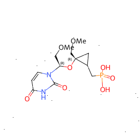 COC[C@@H](O[C@]1(COC)CC1CP(=O)(O)O)n1ccc(=O)[nH]c1=O